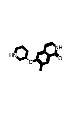 Cc1cc2c(=O)[nH]ccc2cc1O[C@H]1CCCNC1